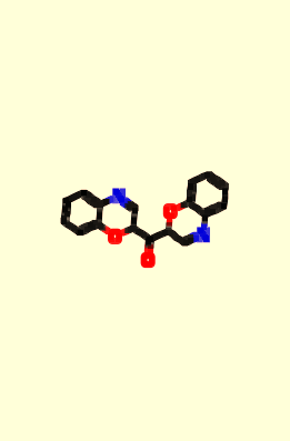 O=C(C1C=Nc2ccccc2O1)C1C=Nc2ccccc2O1